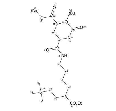 CCOC(=O)C(CCCCNC(=O)C(CNC(=O)OC(C)(C)C)NC(=O)OC(C)(C)C)CC[Si](C)(C)C